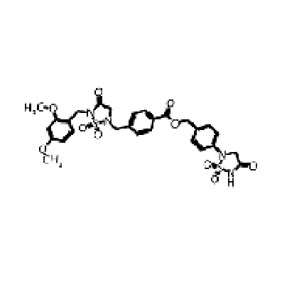 COc1ccc(CN2C(=O)CN(Cc3ccc(C(=O)OCc4ccc(N5CC(=O)NS5(=O)=O)cc4)cc3)S2(=O)=O)c(OC)c1